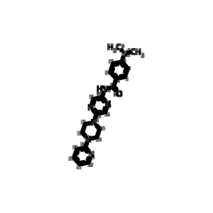 CN(C)c1ccc(C(=O)Nc2cnc(N3CCN(c4ccccn4)CC3)cn2)cc1